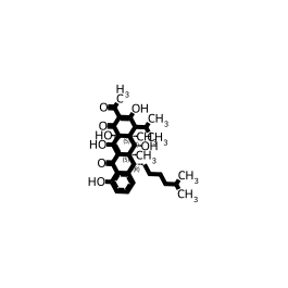 CC(=O)C1=C(O)C(C(C)C)[C@@]2(C)[C@H](O)[C@]3(C)C(=C(O)[C@@]2(O)C1=O)C(=O)c1c(O)cccc1[C@H]3CCCCC(C)C